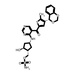 Cc1sc(C(=O)c2cncnc2N[C@@H]2C[C@H](COS(N)(=O)=O)[C@@H](O)C2)cc1[C@H]1OCOc2ccccc21